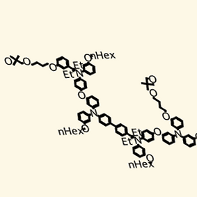 CCCCCCOc1cccc(N(c2ccc(-c3ccc(C(CC)(CC)N(c4ccc(Oc5cccc(N(c6cccc(OCCCCCC)c6)c6cccc(OCCCCOCC7(C)COC7)c6)c5)cc4)c4cccc(OCCCCCC)c4)cc3)cc2)c2cccc(Oc3ccc(N(c4cccc(OCCCCCC)c4)C(CC)(CC)c4cccc(OCCCCOCC5(C)COC5)c4)cc3)c2)c1